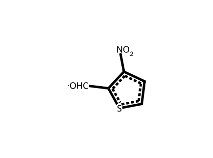 O=[C]c1sccc1[N+](=O)[O-]